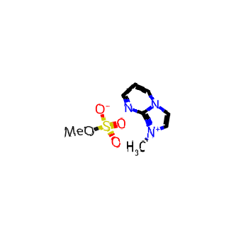 COS(=O)(=O)[O-].C[n+]1ccn2cccnc21